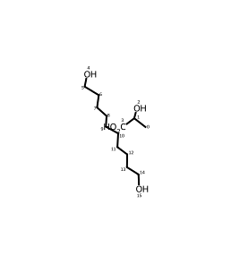 CC(O)C(=O)O.OCCCCCCCCCCO